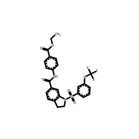 CCOC(=O)c1ccc(NC(=O)c2ccc3c(c2)N(S(=O)(=O)c2cccc(OC(F)(F)F)c2)CC3)cc1